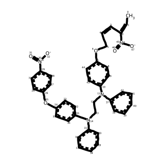 C/C=C(\C=C/COc1ccc(N(CCN(c2ccccc2)c2ccc(Oc3ccc([N+](=O)[O-])cc3)cc2)c2ccccc2)cc1)[N+](=O)[O-]